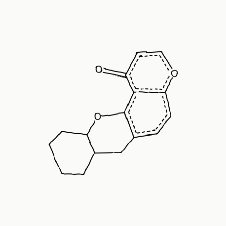 O=c1ccoc2ccc3c(c12)OC1CCCCC1C3